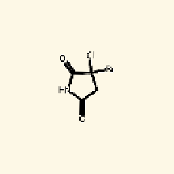 O=C1CC(Cl)(Br)C(=O)N1